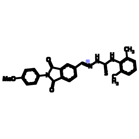 COc1ccc(N2C(=O)c3ccc(/C=N/NC(=S)Nc4c(C)cccc4C)cc3C2=O)cc1